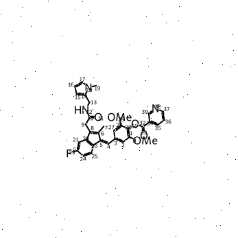 COc1cc(C=C2C(C)=C(CC(=O)NCc3cccn3C)c3cc(F)ccc32)cc(OC)c1OC(=O)c1cccnc1